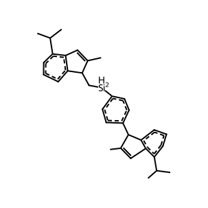 CC1=Cc2c(C(C)C)cccc2C1C[SiH2]c1ccc(C2C(C)=Cc3c(C(C)C)cccc32)cc1